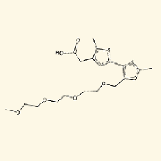 COCCOCCOCCOCc1cc(C)sc1-c1cc(CC(=O)O)c(C)s1